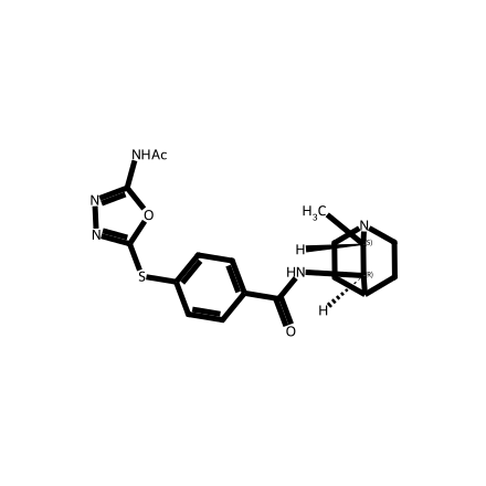 CC(=O)Nc1nnc(Sc2ccc(C(=O)N[C@@H]3C4CCN(CC4)[C@H]3C)cc2)o1